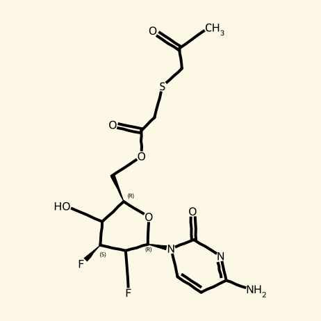 CC(=O)CSCC(=O)OC[C@H]1O[C@@H](n2ccc(N)nc2=O)C(F)[C@@H](F)C1O